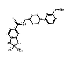 CC(C)(C)Oc1cccc(N2CCC(CNC(=O)c3ccc4c(c3)OC(N)(O)N4)CC2)c1